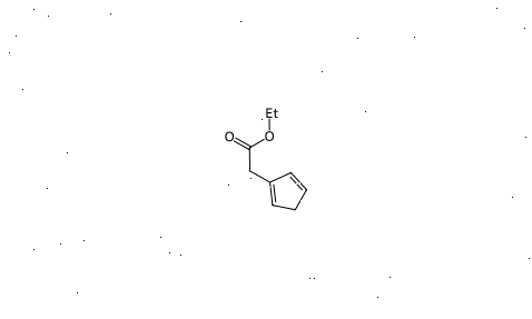 CCOC(=O)CC1=CCC=C1